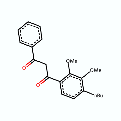 CCCCc1ccc(C(=O)CC(=O)c2ccccc2)c(OC)c1OC